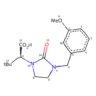 COc1cccc(CN2CCN([C@H](C(=O)O)C(C)(C)C)C2=O)c1